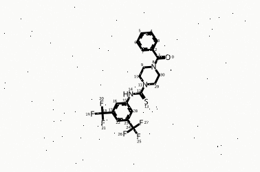 O=C(c1ccccc1)N1CCN(C(=S)Nc2cc(C(F)(F)F)cc(C(F)(F)F)c2)CC1